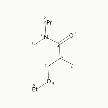 CCCN(C)C(=O)C(C)COCC